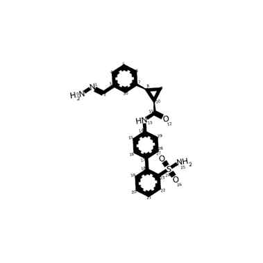 NN=Cc1cccc([C@H]2C[C@H]2C(=O)Nc2ccc(-c3ccccc3S(N)(=O)=O)cc2)c1